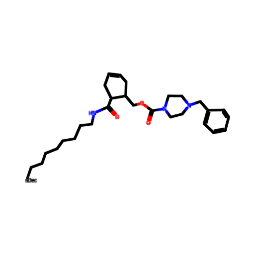 CCCCCCCCCCCCCCCCCCNC(=O)C1CC=CCC1COC(=O)N1CCN(Cc2ccccc2)CC1